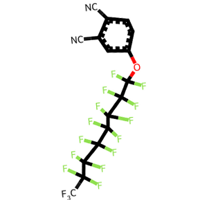 N#Cc1ccc(OC(F)(F)C(F)(F)C(F)(F)C(F)(F)C(F)(F)C(F)(F)C(F)(F)C(F)(F)F)cc1C#N